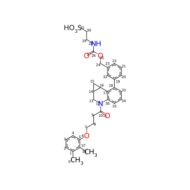 Cc1cccc(OCCCC(=O)N2CC3CC3c3c(-c4cccc(COC(=O)NCCS(=O)(=O)O)c4)cccc32)c1C